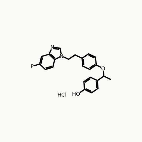 CC(Oc1ccc(CCn2cnc3cc(F)ccc32)cc1)c1ccc(O)cc1.Cl